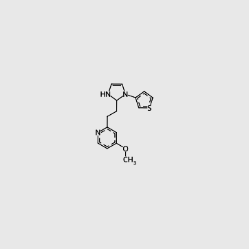 COc1ccnc(CCC2NC=CN2c2ccsc2)c1